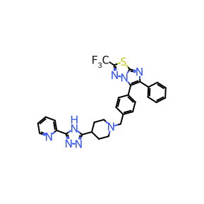 FC(F)(F)c1nn2c(-c3ccc(CN4CCC(c5nnc(-c6ccccn6)[nH]5)CC4)cc3)c(-c3ccccc3)nc2s1